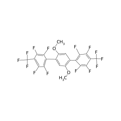 COc1cc(-c2c(F)c(F)c(C(F)(F)F)c(F)c2F)c(OC)cc1-c1c(F)c(F)c(C(F)(F)F)c(F)c1F